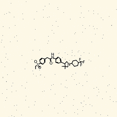 CCS(=O)(=O)c1ccc(CC(=O)Nc2ccc(C3CN(C4CCC(C(F)(F)F)CC4)CC3(C)C)cc2)cc1